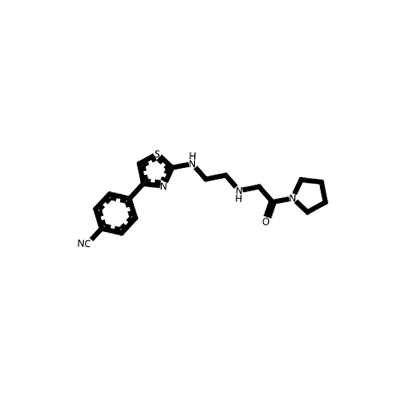 N#Cc1ccc(-c2csc(NCCNCC(=O)N3CCCC3)n2)cc1